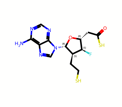 Nc1ncnc2c1ncn2[C@@H]1O[C@H](CC(=O)S)[C@@H](F)[C@H]1CCS